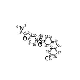 CN(C)Cc1cc2c(o1)CCN(S(=O)(=O)c1ccc(/C=C\c3ccc(Cl)cc3)cc1)C2